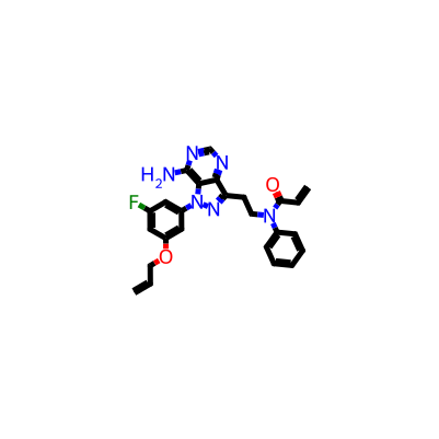 C=CCOc1cc(F)cc(-n2nc(CCN(C(=O)C=C)c3ccccc3)c3ncnc(N)c32)c1